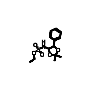 CCOS(=O)(=O)NC1OC(C)(C)OC1c1ccccc1